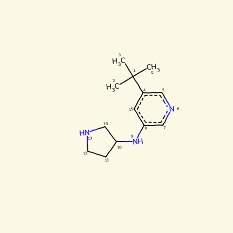 CC(C)(C)c1cncc(NC2CCNC2)c1